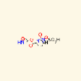 O=C(O[C@H]1CNOC1)[C@@H]1CC[C@@H]2CN1C(=O)N2OS(=O)(=O)O